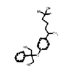 CCC(O)(CC)CCCC(C)c1ccc(OC(CO)(CO)c2ccccc2)cc1